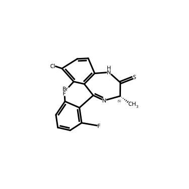 C[C@@H]1N=C(c2c(F)cccc2F)c2c(ccc(Cl)c2Br)NC1=S